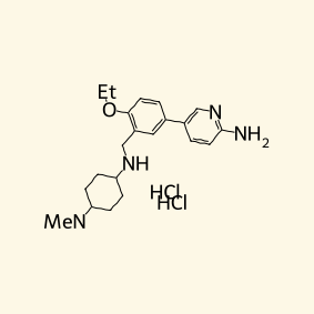 CCOc1ccc(-c2ccc(N)nc2)cc1CNC1CCC(NC)CC1.Cl.Cl